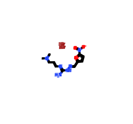 Br.Br.CN(C)CCCN=C(N)NN=Cc1ccc([N+](=O)[O-])o1